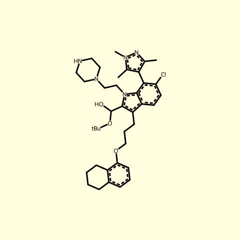 Cc1nn(C)c(C)c1-c1c(Cl)ccc2c(CCCOc3cccc4c3CCCC4)c(C(O)OC(C)(C)C)n(CCN3CCNCC3)c12